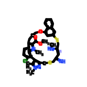 CN/C1=C\C(=N)CSCc2nn(C)c(C)c2-c2c(Cl)ccc3c(c(C(=O)OC)n(C)c23)CCCOc2cc(cc3ccccc23)SC1